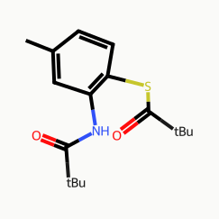 Cc1ccc(SC(=O)C(C)(C)C)c(NC(=O)C(C)(C)C)c1